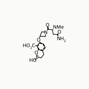 CN[C@H](CC(N)=O)C(=O)N1CC(Oc2ccc3c(c2C(=O)O)OB(O)CC3)C1